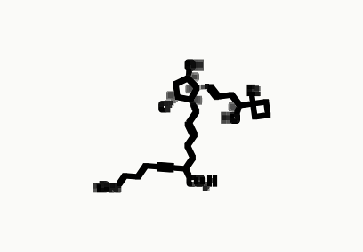 CCCCCCCCCCCCCC#CC(CCC=CC[C@@H]1[C@@H](C=CC[C@H](O)C2(CC)CCC2)[C@H](O)C[C@H]1Cl)C(=O)O